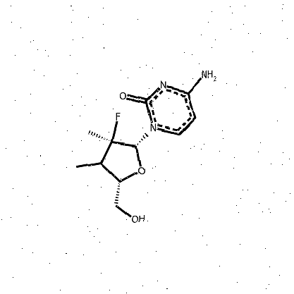 CC1[C@@H](CO)O[C@@H](n2ccc(N)nc2=O)[C@]1(C)F